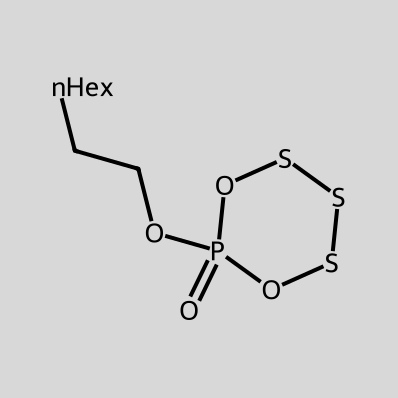 CCCCCCCCOP1(=O)OSSSO1